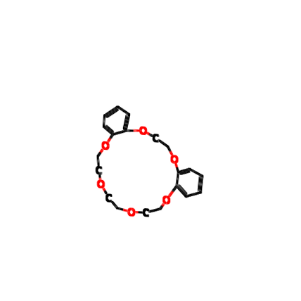 c1ccc2c(c1)OCCOCCOCCOc1ccccc1OCCO2